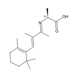 CC(=CC1=C(C)CCCC1(C)C)C(C)=N[C@@H](C)C(=O)O